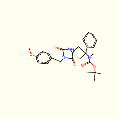 COc1ccc(CN2C(=O)N[C@]3(C[C@](c4ccccc4)(N(C)C(=O)OC(C)(C)C)C3)C2=O)cc1